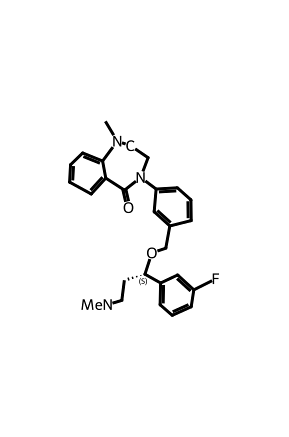 CNCC[C@H](OCc1cccc(N2CCN(C)c3ccccc3C2=O)c1)c1cccc(F)c1